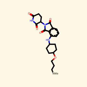 CNCCCOC1CCC(Nc2cccc3c2C(=O)N(C2CCC(=O)NC2=O)C3=O)CC1